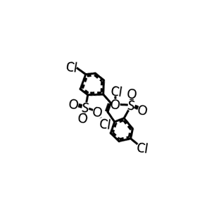 O=S(=O)(OCl)c1cc(Cl)ccc1/C=C/c1ccc(Cl)cc1S(=O)(=O)OCl